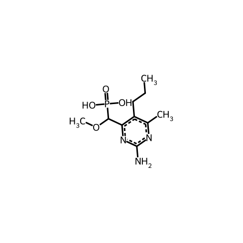 CCCc1c(C)nc(N)nc1C(OC)P(=O)(O)O